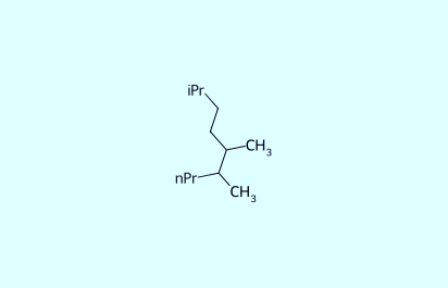 [CH2]CCC(C)C(C)CCC(C)C